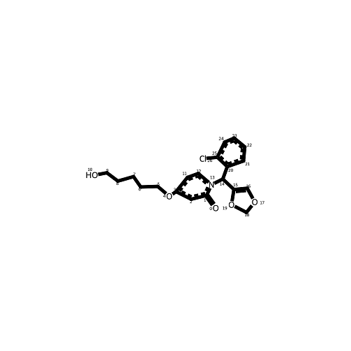 O=c1cc(OCCCCCO)ccn1C(C1=COCO1)c1ccccc1Cl